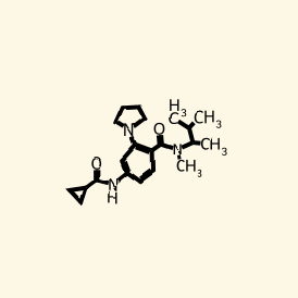 CC(C)C(C)N(C)C(=O)c1ccc(NC(=O)C2CC2)cc1N1CCCC1